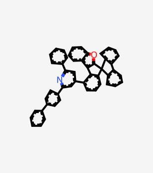 c1ccc(-c2ccc(-c3cc(-c4cccc5c4-c4c(oc6ccccc46)C54c5ccccc5-c5ccccc54)cc(-c4ccccc4)n3)cc2)cc1